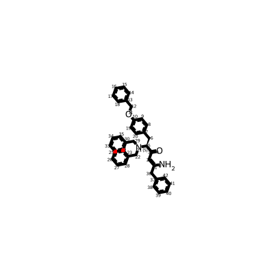 NC(=CC(=O)[C@H](Cc1ccc(OCc2ccccc2)cc1)N(Cc1ccccc1)Cc1ccccc1)Cc1ccccc1